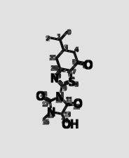 CC(C)C1CC(=O)c2sc(N3C(=O)C(O)N(C)C3=O)nc2C1